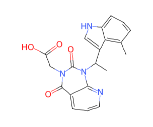 Cc1cccc2[nH]cc(C(C)n3c(=O)n(CC(=O)O)c(=O)c4cccnc43)c12